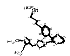 Cc1c(CN2CCN(c3nccnc3-c3ccc(CCCO)cc3)CC2)cnn1C.Cl